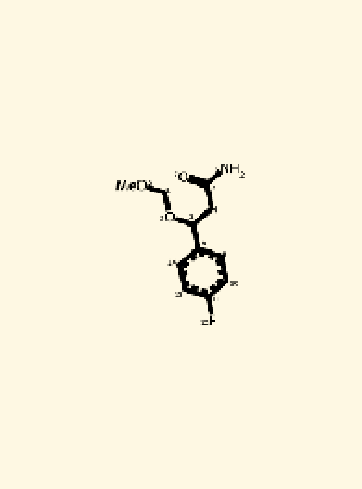 COCOC(CC(N)=O)c1ccc(F)cc1